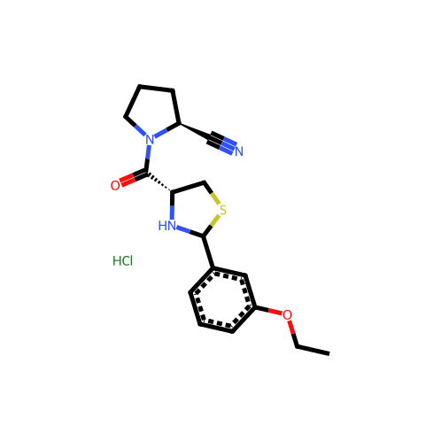 CCOc1cccc(C2N[C@H](C(=O)N3CCC[C@H]3C#N)CS2)c1.Cl